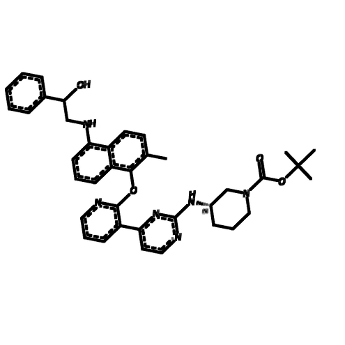 Cc1ccc2c(NCC(O)c3ccccc3)cccc2c1Oc1ncccc1-c1ccnc(N[C@H]2CCCN(C(=O)OC(C)(C)C)C2)n1